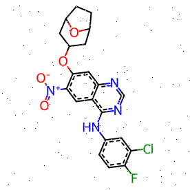 O=[N+]([O-])c1cc2c(Nc3ccc(F)c(Cl)c3)ncnc2cc1OC1CC2CCC(C1)O2